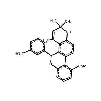 COc1cccc2c1-c1ccc3c(c1C(c1cccc(C(=O)O)c1)O2)C(C)=CC(C)(C)N3